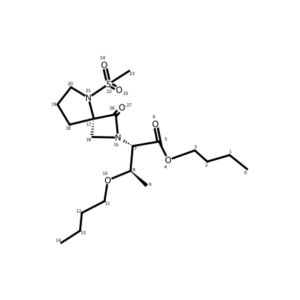 CCCCOC(=O)[C@H]([C@@H](C)OCCCC)N1C[C@@]2(CCCN2S(C)(=O)=O)C1=O